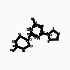 Cc1cc(N2CCCC2)nc(N2CCC(C)CC2)n1